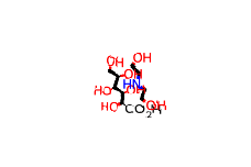 O=C(O)[C@H](O)[C@@H](O)[C@H](O)[C@H](O)CO.OCCNCCO